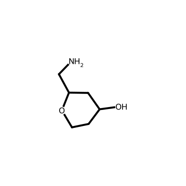 NCC1CC(O)CCO1